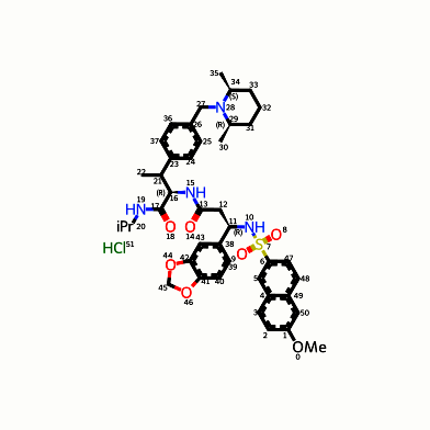 COc1ccc2cc(S(=O)(=O)N[C@H](CC(=O)N[C@@H](C(=O)NC(C)C)C(C)c3ccc(CN4[C@H](C)CCC[C@@H]4C)cc3)c3ccc4c(c3)OCO4)ccc2c1.Cl